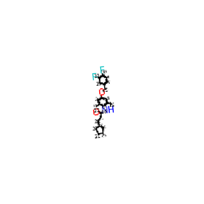 Cc1cc(OCc2ccc(F)c(F)c2)cc(C)c1NC(=O)CCC1CCCC1